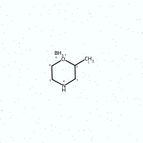 B.CC1CNCCO1